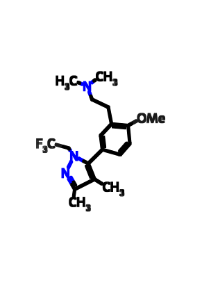 COc1ccc(-c2c(C)c(C)nn2CC(F)(F)F)cc1CCN(C)C